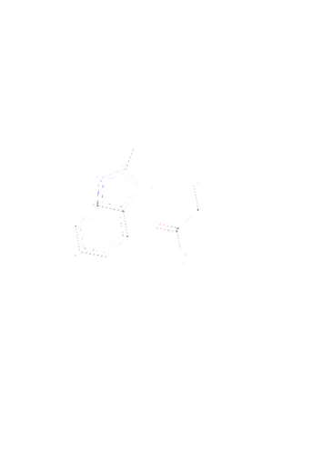 CCC(=O)O.Sc1nc2ccccc2s1